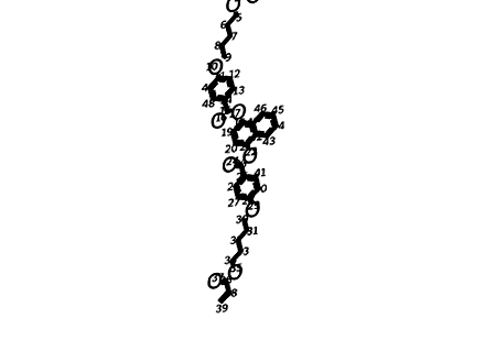 C=CC(=O)OCCCCCOc1ccc(C(=O)Oc2ccc(OC(=O)c3ccc(OCCCCCOC(=O)C=C)cc3)c3ccccc23)cc1